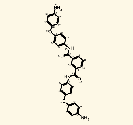 Nc1ccc(Oc2ccc(NC(=O)c3cccc(C(=O)Nc4ccc(Oc5ccc(N)cc5)cc4)c3)cc2)cc1